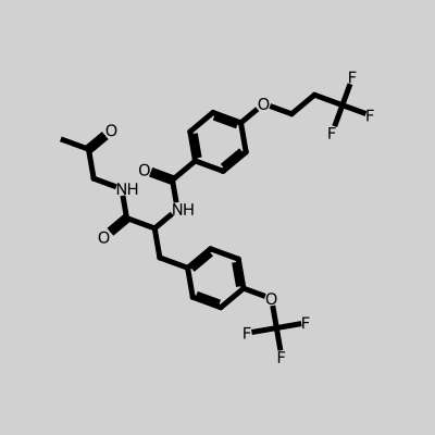 CC(=O)CNC(=O)C(Cc1ccc(OC(F)(F)F)cc1)NC(=O)c1ccc(OCCC(F)(F)F)cc1